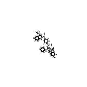 Cc1ccc(S(=O)(=O)N[C@H](CNC2CCC(Nc3cc(N(C)C)c4ccccc4n3)CC2)Cc2ccccc2)cc1